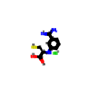 Cl.N=C(N)c1cccc(N[C@@H](CS)C(=O)O)c1